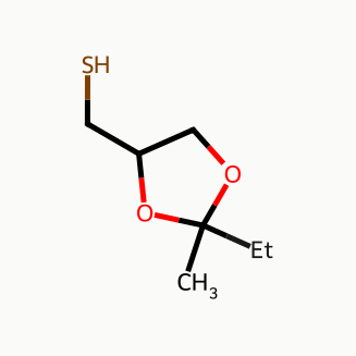 CCC1(C)OCC(CS)O1